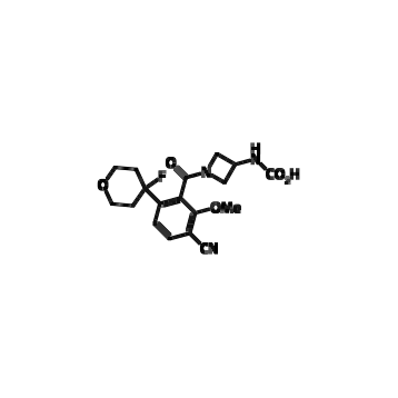 COc1c(C#N)ccc(C2(F)CCOCC2)c1C(=O)N1CC(NC(=O)O)C1